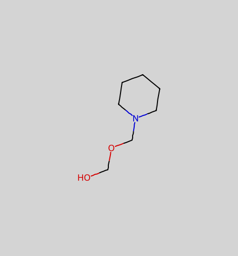 OCOCN1CCCCC1